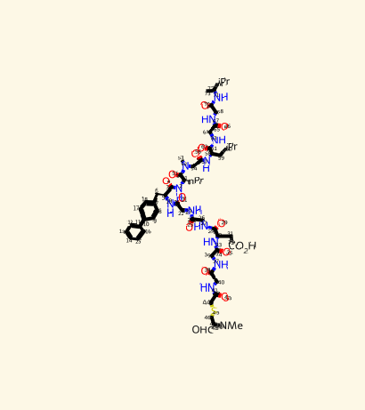 CCC[C@H](NC(=O)[C@H](Cc1ccc(-c2ccccc2)cc1)NC(=O)CNC(=O)CNC(=O)C(CC(=O)O)NC(=O)CNC(=O)CNC(=O)CSCC(C=O)NC)C(=O)N(C)CC(=O)NC(CC(C)C)C(=O)NCC(=O)NCC(=O)NC(C)C(C)C